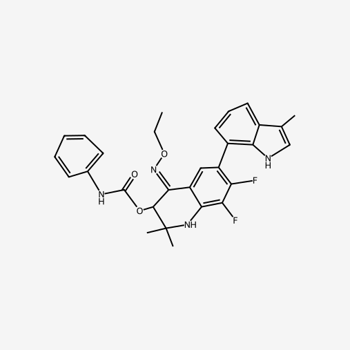 CCO/N=C1\c2cc(-c3cccc4c(C)c[nH]c34)c(F)c(F)c2NC(C)(C)C1OC(=O)Nc1ccccc1